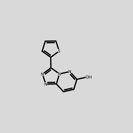 Oc1ccc2nnc(-c3cccs3)n2n1